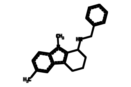 Cc1ccc2c(c1)c1c(n2C)C(NCc2ccccc2)CCC1